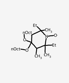 CCCCCCCCOC1(OCCCCCCCC)CC(C)(CC)N([O])C(C)(CC)C1C